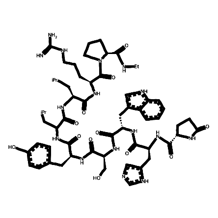 CCNC(=O)[C@@H]1CCCN1C(=O)[C@H](CCCNC(=N)N)NC(=O)[C@H](CC(C)C)NC(=O)C(CC(C)C)NC(=O)[C@H](Cc1ccc(O)cc1)NC(=O)[C@H](CO)NC(=O)[C@H](Cc1c[nH]c2ccccc12)NC(=O)[C@H](Cc1cnc[nH]1)NC(=O)[C@@H]1CCC(=O)N1